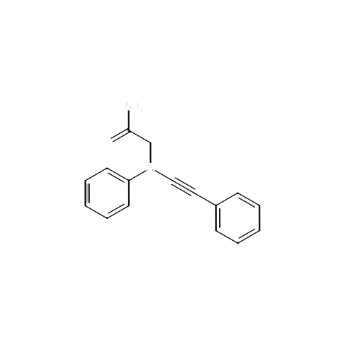 NC(=O)CN(C#Cc1ccccc1)c1ccccc1